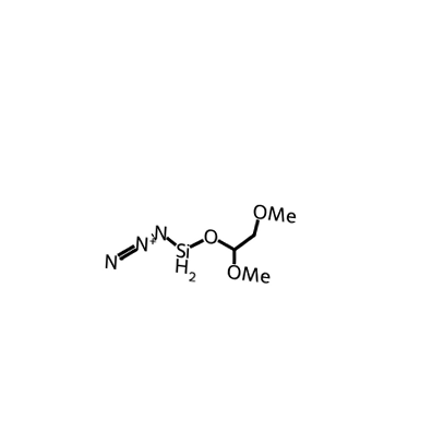 COCC(OC)O[SiH2]N=[N+]=[N-]